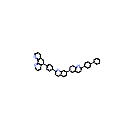 c1ccc(-c2ccc(-c3ccc4cc(-c5ccc6ccc(-c7ccc(-c8cc9cccnc9c9ncccc89)cc7)nc6c5)ccc4n3)cc2)cc1